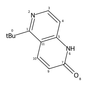 CC(C)(C)c1nccc2[nH]c(=O)ccc12